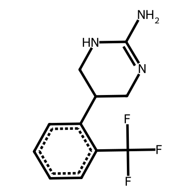 NC1=NCC(c2ccccc2C(F)(F)F)CN1